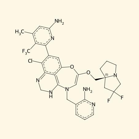 Cc1cc(N)nc(-c2cc3c4c(c2Cl)=NCNC=4N(Cc2cccnc2N)C=C(OC[C@@]24CCCN2CC(F)(F)C4)O3)c1C(F)(F)F